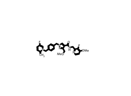 C=C1C=CC(F)=CN1Cc1ccc(Cn2cc(C(=O)NCc3nccc(OC)c3F)c(COC)n2)cc1